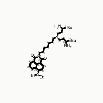 CCCCC(N)CCN(CCCCCCCN1C(=O)c2cccc3c(N(CC)CC)ccc(c23)C1=O)CCC(N)CCCC